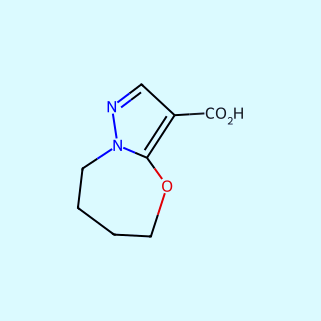 O=C(O)c1cnn2c1OCCCC2